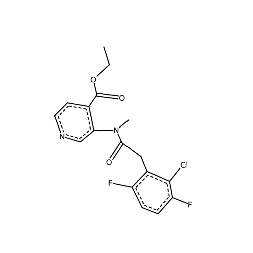 CCOC(=O)c1ccncc1N(C)C(=O)Cc1c(F)ccc(F)c1Cl